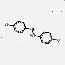 Clc1ccc(NNc2ccc(Cl)cc2)cc1